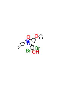 CC(C)(C)c1ccc(CN(/N=C/c2cc(Br)c(O)c(Br)c2)C(=O)c2cccc(Oc3ccccc3)c2)cc1